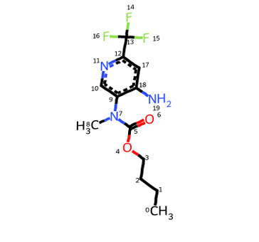 CCCCOC(=O)N(C)c1cnc(C(F)(F)F)cc1N